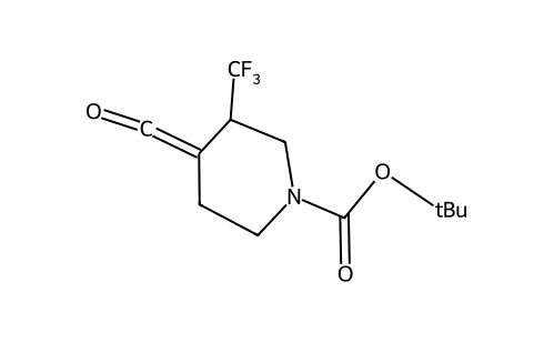 CC(C)(C)OC(=O)N1CCC(=C=O)C(C(F)(F)F)C1